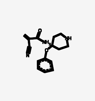 C=C(C#N)C(N)=O.c1ccc(OC2CCNCC2)cc1